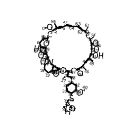 CO[C@H]1C[C@@H]2CC[C@@H](C)[C@@](O)(O2)C(=O)C(=O)N2CCCC[C@H]2C(=O)O[C@H]([C@H](C)C[C@@H]2CCC(SC[PH](C)=O)[C@H](OC)C2)CC(=O)[C@H](C)/C=C(\C)[C@@H](O)[C@@H](OC)C(=O)[C@H](C)C[C@H](C)/C=C/C=C/C=C/1C